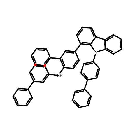 c1ccc(-c2ccc(-n3c4ccccc4c4cccc(-c5ccc(Nc6cccc(-c7ccccc7)c6)c(-c6ccccc6)c5)c43)cc2)cc1